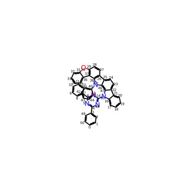 c1ccc(-c2nc(-c3ccccc3)nc(-n3c4ccccc4c4ccc5c6ccc7oc8ccccc8c7c6n(-c6ccccc6)c5c43)n2)cc1